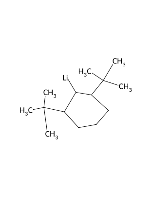 [Li][CH]1C(C(C)(C)C)CCCC1C(C)(C)C